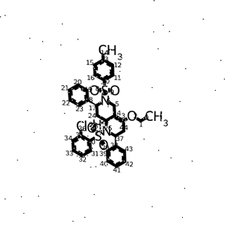 CCOC1=C2CN(S(=O)(=O)c3ccc(C)cc3)[C@H](c3ccccc3)C[C@@H]2N(S(=O)(=O)c2ccccc2Cl)[C@H](c2ccccc2)C1